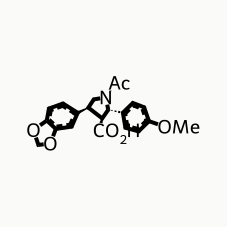 COc1ccc([C@@H]2[C@@H](C(=O)O)[C@@H](c3ccc4c(c3)OCO4)CN2C(C)=O)cc1